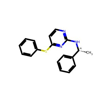 C[C@@H](Nc1nccc(Sc2ccccc2)n1)c1ccccc1